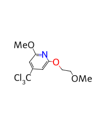 COCCOc1cc(C(Cl)(Cl)Cl)cc(OC)n1